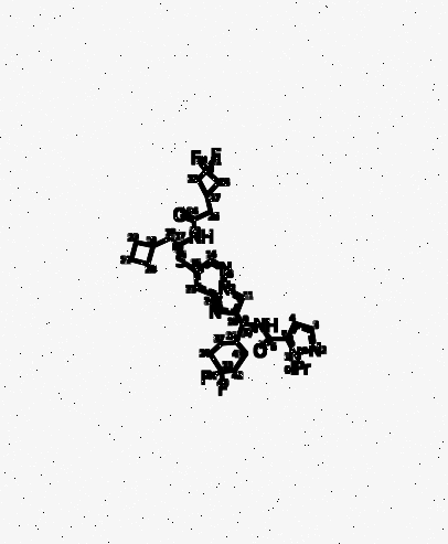 CC(C)n1nccc1C(=O)N[C@H](c1cn2ncc(S[C@H](CC3CCC3)NC(=O)CC3CC(F)(F)C3)cc2n1)C1CCC(F)(F)CC1